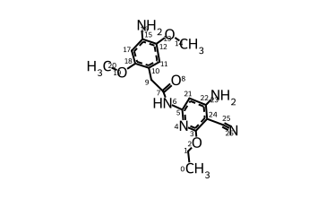 CCOc1nc(NC(=O)Cc2cc(OC)c(N)cc2OC)cc(N)c1C#N